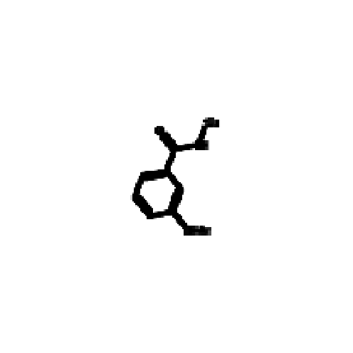 CC(=O)Nc1cccc(C(=O)NC(C)(C)C)c1